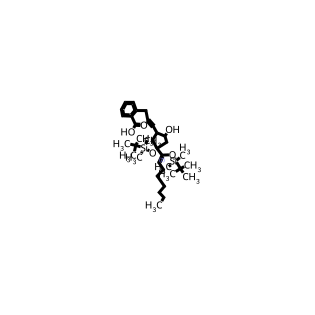 CCCCCC/C=C(\O[Si](C)(C)C(C)(C)C)C1(O[Si](C)(C)C(C)(C)C)CC(O)C(C#CCc2ccccc2C(=O)O)C1